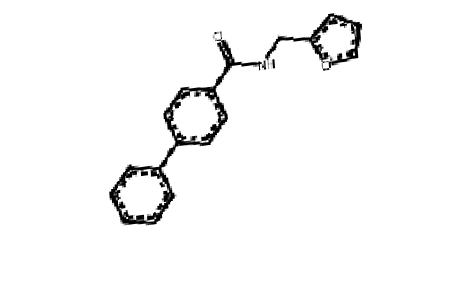 O=C(NCc1ccco1)c1ccc(-c2ccccc2)cc1